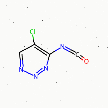 O=C=Nc1nnncc1Cl